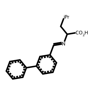 CC(C)CC(N=Cc1cccc(-c2ccccc2)c1)C(=O)O